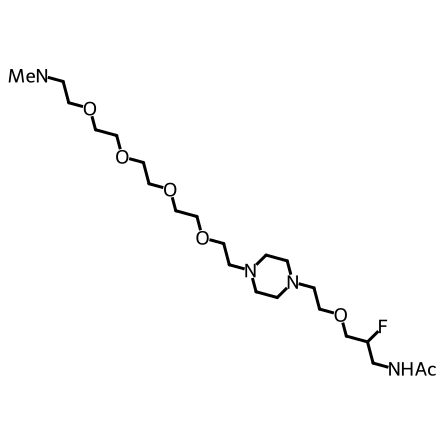 CNCCOCCOCCOCCOCCN1CCN(CCOCC(F)CNC(C)=O)CC1